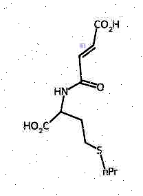 CCCSCCC(NC(=O)/C=C/C(=O)O)C(=O)O